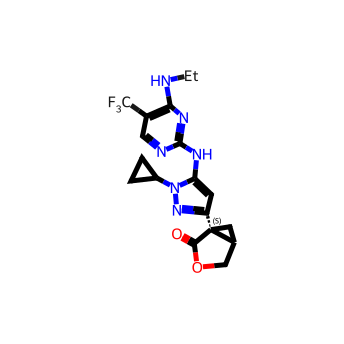 CCNc1nc(Nc2cc([C@]34CC3COC4=O)nn2C2CC2)ncc1C(F)(F)F